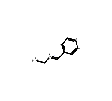 N[C]/N=C/c1ccccc1